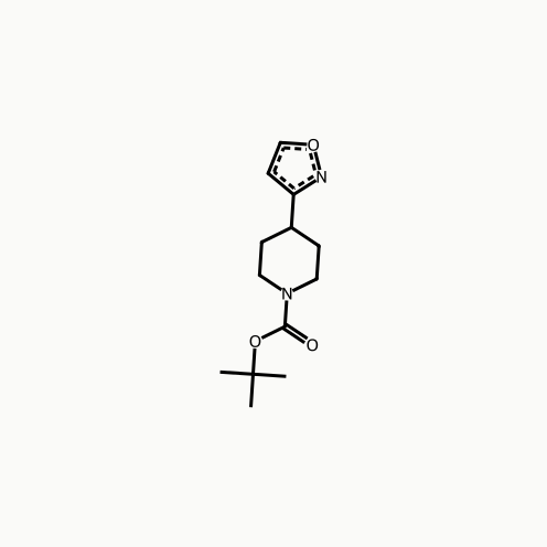 CC(C)(C)OC(=O)N1CCC(c2ccon2)CC1